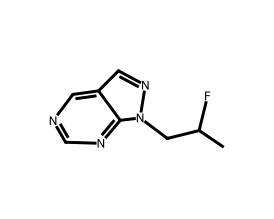 CC(F)Cn1ncc2cncnc21